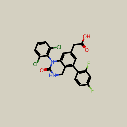 O=C(O)Cc1cc(-c2ccc(F)cc2F)c2c(c1)N(c1c(Cl)cccc1Cl)C(=O)NC2